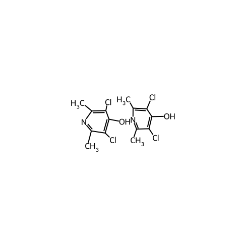 Cc1nc(C)c(Cl)c(O)c1Cl.Cc1nc(C)c(Cl)c(O)c1Cl